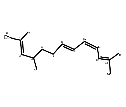 CC/C(C)=C/C(C)CC/C=C/C=C\C=C(C)C